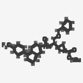 CC(C)(C)OC(=O)N1CC([C@H](COCc2ccccc2)NC(=O)c2ccc3c(-c4ccc(C(F)(F)F)cc4)cccc3c2)C1